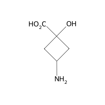 NC1CC(O)(C(=O)O)C1